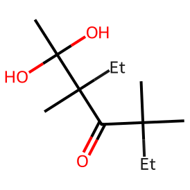 CCC(C)(C)C(=O)C(C)(CC)C(C)(O)O